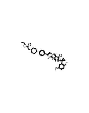 CCOC(=O)C[C@H]1CC[C@H](c2ccc(-c3cn4cc(C(=O)NC5(c6cc(F)ccc6F)CC5)nc4s3)cc2)CC1